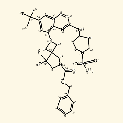 CS(=O)(=O)N1CCC(Nc2ncc3cc(C(F)(F)F)cc(N4CC5(CN(C(=O)OCc6ccccc6)CC5(F)F)C4)c3n2)CC1